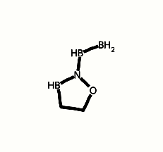 BBN1BCCO1